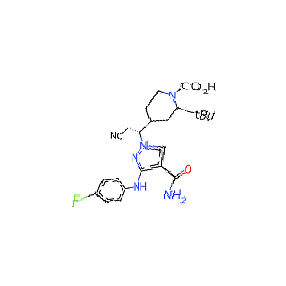 CC(C)(C)C1CC([C@@H](CC#N)n2cc(C(N)=O)c(Nc3ccc(F)cc3)n2)CCN1C(=O)O